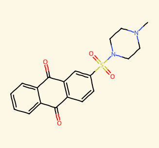 CN1CCN(S(=O)(=O)c2ccc3c(c2)C(=O)c2ccccc2C3=O)CC1